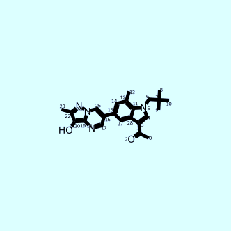 CC(=O)c1cn(CC(C)(C)C)c2c(C)cc(-c3cnc4c(O)c(C)nn4c3)cc12